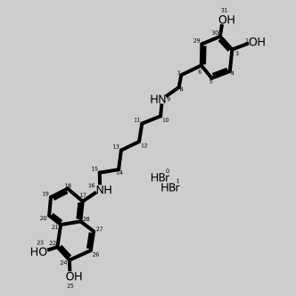 Br.Br.Oc1ccc(CCNCCCCCCNc2cccc3c(O)c(O)ccc23)cc1O